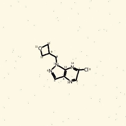 Clc1cnc2cnn(CC3COC3)c2n1